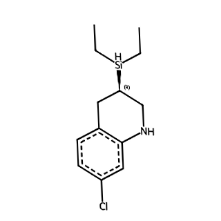 CC[SiH](CC)[C@H]1CNc2cc(Cl)ccc2C1